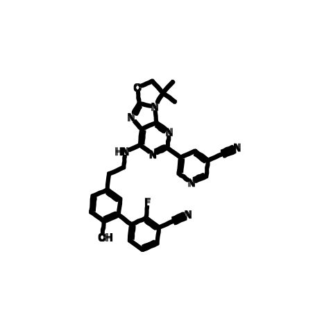 CC1(C)COc2nc3c(NCCc4ccc(O)c(-c5cccc(C#N)c5F)c4)nc(-c4cncc(C#N)c4)nc3n21